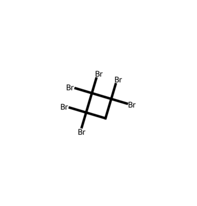 BrC1(Br)CC(Br)(Br)C1(Br)Br